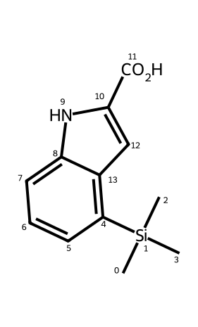 C[Si](C)(C)c1cccc2[nH]c(C(=O)O)cc12